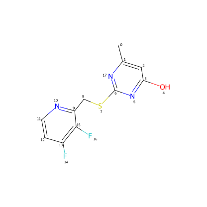 Cc1cc(O)nc(SCc2nccc(F)c2F)n1